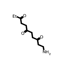 CCC(=O)CCC(=O)CCC(=O)CCN